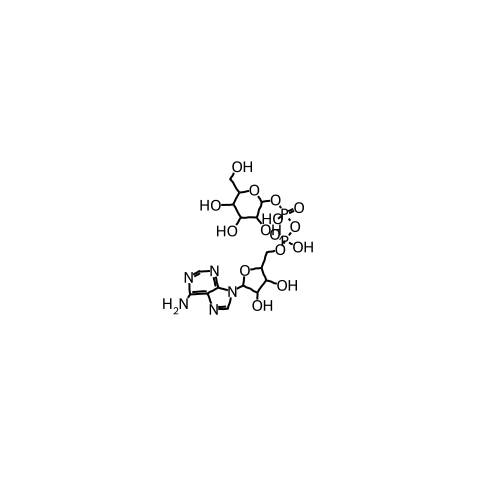 Nc1ncnc2c1ncn2C1OC(COP(=O)(O)OP(=O)(O)OC2OC(CO)C(O)C(O)C2O)C(O)C1O